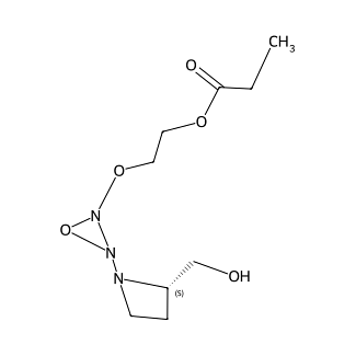 CCC(=O)OCCOn1on1N1CC[C@H]1CO